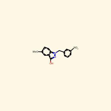 COc1ccc2c(c1)c(O)nn2Cc1cccc([N+](=O)[O-])c1